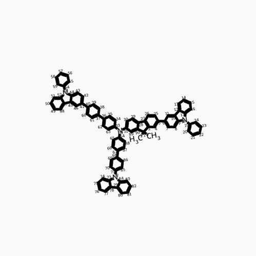 CC1(C)c2cc(-c3ccc4c(c3)c3ccccc3n4-c3ccccc3)ccc2-c2ccc(N(c3ccc(-c4ccc(-c5ccc6c(c5)c5ccccc5n6-c5ccccc5)cc4)cc3)c3ccc(-c4ccc(-n5c6ccccc6c6ccccc65)cc4)cc3)cc21